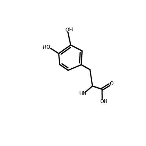 [NH]C(Cc1ccc(O)c(O)c1)C(=O)O